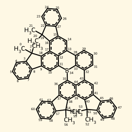 CC1(C)c2ccccc2-c2cc3c4c(cc5c(c4c21)C(C)(C)c1ccccc1-5)-c1cccc2c1B3c1cc3c(c4c5c(cc-2c14)-c1ccccc1C5(C)C)C(C)(C)c1ccccc1-3